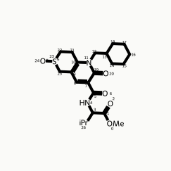 COC(=O)C(NC(=O)c1cc2c(n(CC3CCCCC3)c1=O)CC[S+]([O-])C2)C(C)C